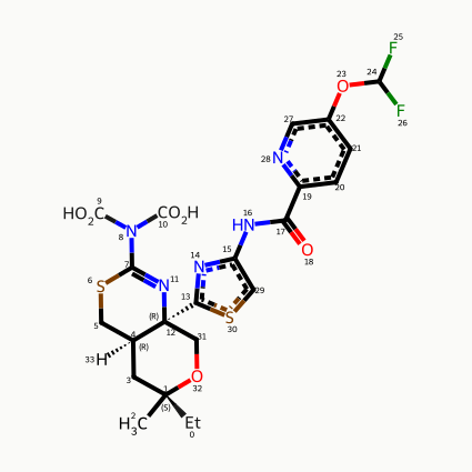 CC[C@@]1(C)C[C@H]2CSC(N(C(=O)O)C(=O)O)=N[C@@]2(c2nc(NC(=O)c3ccc(OC(F)F)cn3)cs2)CO1